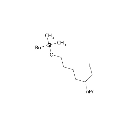 CCC[C@@H](CI)CCCCO[Si](C)(C)C(C)(C)C